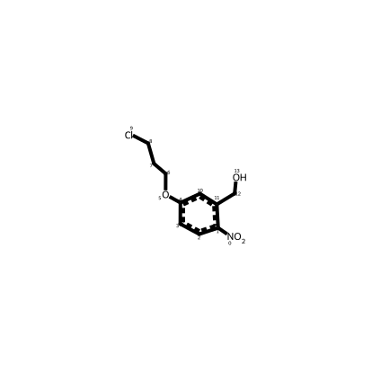 O=[N+]([O-])c1ccc(OCCCCl)cc1CO